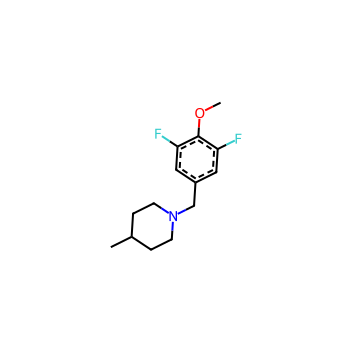 COc1c(F)cc(CN2CCC(C)CC2)cc1F